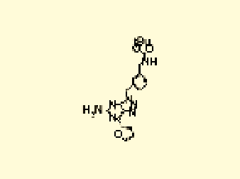 CC(C)(C)OC(=O)NCc1cccc(Cn2nnc3c(-c4ccco4)nc(N)nc32)c1